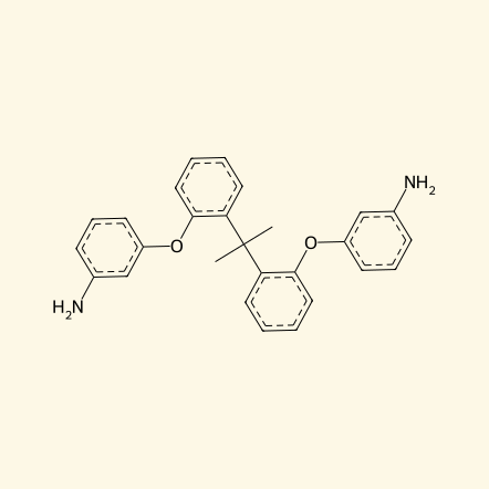 CC(C)(c1ccccc1Oc1cccc(N)c1)c1ccccc1Oc1cccc(N)c1